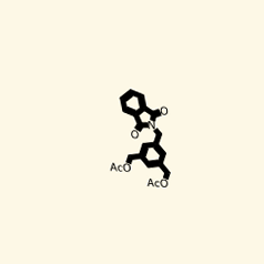 CC(=O)OCc1cc(COC(C)=O)cc(CN2C(=O)c3ccccc3C2=O)c1